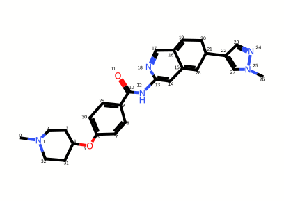 CN1CCC(Oc2ccc(C(=O)Nc3cc4c(cn3)=CCC(c3cnn(C)c3)C=4)cc2)CC1